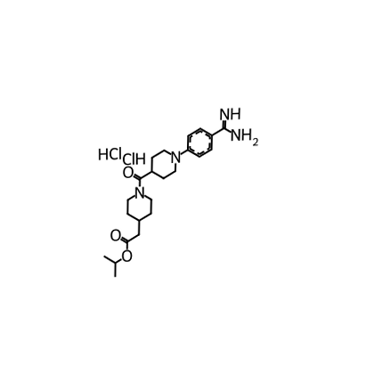 CC(C)OC(=O)CC1CCN(C(=O)C2CCN(c3ccc(C(=N)N)cc3)CC2)CC1.Cl.Cl